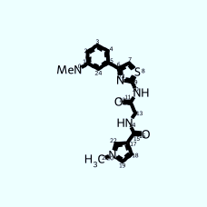 CNc1cccc(-c2csc(NC(=O)CNC(=O)c3ccn(C)c3)n2)c1